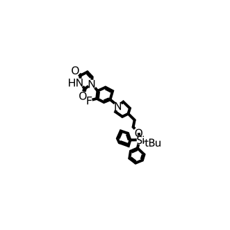 CC(C)(C)[Si](OCCC1CCN(c2ccc(-n3ccc(=O)[nH]c3=O)c(F)c2)CC1)(c1ccccc1)c1ccccc1